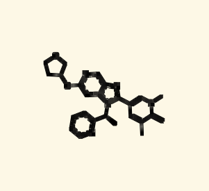 C=C1C(C)=CC(c2nc3cnc(OC4CCOC4)cc3n2[C@@H](C)c2ccccn2)=CN1C